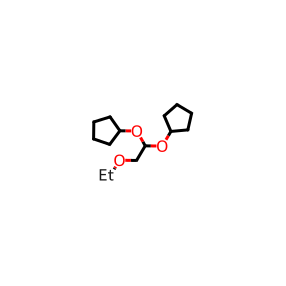 [CH2]COCC(OC1CCCC1)OC1CCCC1